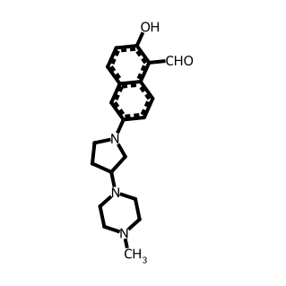 CN1CCN(C2CCN(c3ccc4c(C=O)c(O)ccc4c3)C2)CC1